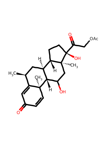 CC(=O)OCC(=O)[C@@]1(O)CC[C@H]2[C@@H]3C[C@H](C)C4=CC(=O)C=C[C@]4(C)[C@H]3C(O)C[C@@]21C